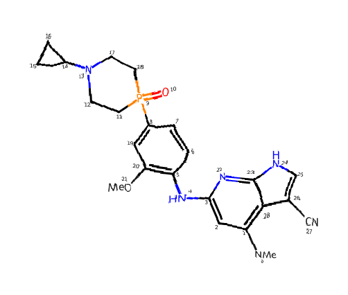 CNc1cc(Nc2ccc(P3(=O)CCN(C4CC4)CC3)cc2OC)nc2[nH]cc(C#N)c12